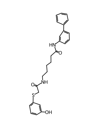 O=C(CSc1cccc(O)c1)NCCCCCC(=O)Nc1cccc(-c2ccccc2)c1